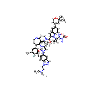 Cc1cc(C2CCN=C3CCN(C(=O)c4cc5cc([C@H]6CCOC(C)(C)C6)ccc5n4[C@@]4(c5noc(=O)[nH]5)C[C@@H]4C)[C@@H](C)C3=C2n2ccn(-c3ccc4c(cnn4CCN(C)C)c3)c2=O)cc(C)c1F